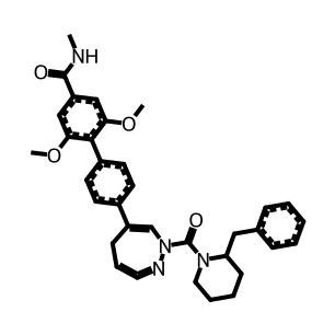 CNC(=O)c1cc(OC)c(-c2ccc(C3=CN(C(=O)N4CCCCC4Cc4ccccc4)N=C=CC3)cc2)c(OC)c1